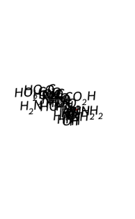 CC(NC(=O)C(CO)NC(=O)C1CCCN1C(=O)C(Cc1c[nH]c2ccccc12)NC(=O)C(CCC(=O)O)NC(=O)C(Cc1ccc(O)cc1)NC(=O)C(CC(=O)O)NC(=O)C1CCCN1C(=O)C(CC(=O)O)NC(=O)C(CCC(=O)O)NC(=O)C(N)CCCCN)C(=O)NC(CCCCN)C(N)=O